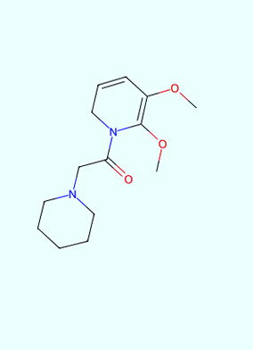 COC1=C(OC)N(C(=O)CN2CCCCC2)CC=C1